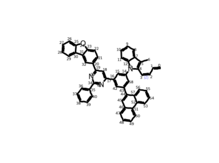 C=C/C=C\c1c(C)c2ccccc2n1-c1cc(-c2cc(-c3ccc4oc5ccccc5c4c3)nc(-c3ccccc3)n2)cc(-c2cc3ccccc3c3ccccc23)c1